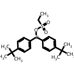 CCS(=O)(=O)O[I+](c1ccc(C(C)(C)C)cc1)c1ccc(C(C)(C)C)cc1